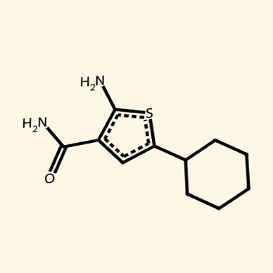 NC(=O)c1cc(C2CCCCC2)sc1N